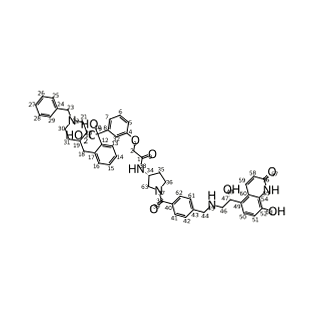 O=C(COc1cccc([C@@](O)(C(=O)O)c2ccccc2CC2CCN(Cc3ccccc3)CC2)c1)N[C@@H]1CCN(C(=O)c2ccc(CNC[C@H](O)c3ccc(O)c4[nH]c(=O)ccc34)cc2)C1